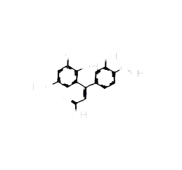 COc1ccc(/C(=C/C(=O)O)c2cc(C)cc(C)c2O)cc1O